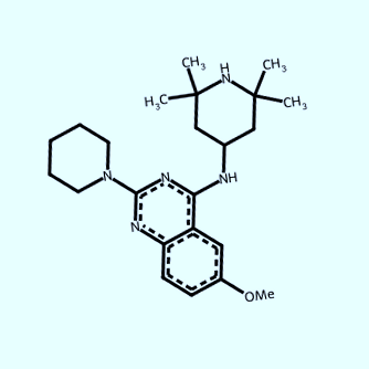 COc1ccc2nc(N3CCCCC3)nc(NC3CC(C)(C)NC(C)(C)C3)c2c1